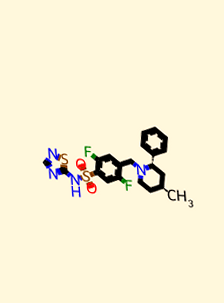 C[C@@H]1CCN(Cc2cc(F)c(S(=O)(=O)Nc3ncns3)cc2F)[C@H](c2ccccc2)C1